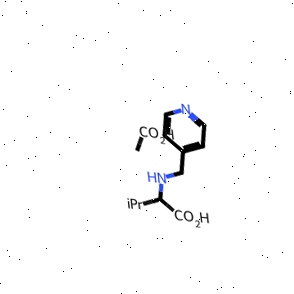 CC(=O)O.CC(C)C(NCc1ccncc1)C(=O)O